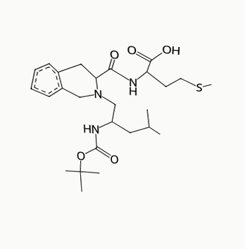 CSCCC(NC(=O)C1Cc2ccccc2CN1CC(CC(C)C)NC(=O)OC(C)(C)C)C(=O)O